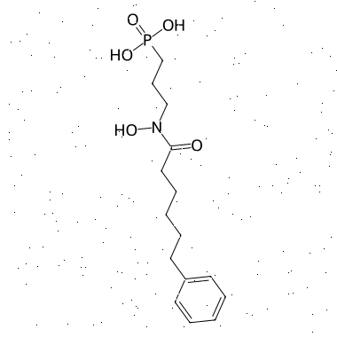 O=C(CCCCCc1ccccc1)N(O)CCCP(=O)(O)O